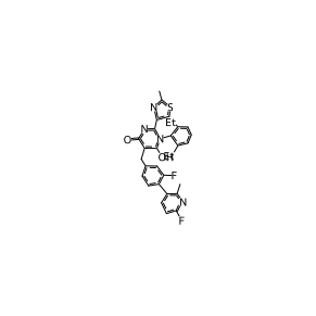 CCc1cccc(CC)c1-n1c(-c2csc(C)n2)nc(=O)c(Cc2ccc(-c3ccc(F)nc3C)c(F)c2)c1O